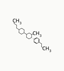 CCCCC1CCC(C2CC[C@@H](c3ccc(CCC)cc3)[C@H](C)C2)CC1